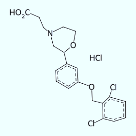 Cl.O=C(O)CCN1CCOC(c2cccc(OCc3c(Cl)cccc3Cl)c2)C1